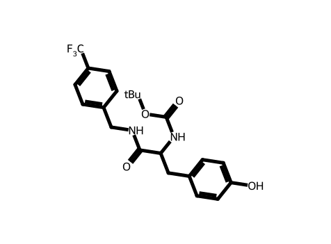 CC(C)(C)OC(=O)NC(Cc1ccc(O)cc1)C(=O)NCc1ccc(C(F)(F)F)cc1